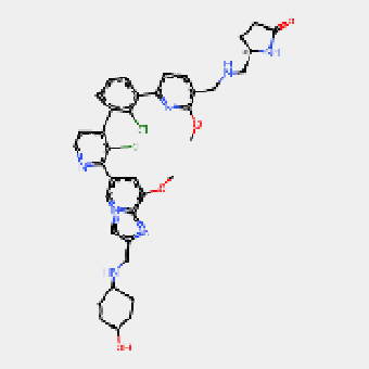 COc1nc(-c2cccc(-c3ccnc(-c4cc(OC)c5nc(CNC6CCC(O)CC6)cn5c4)c3Cl)c2Cl)ccc1CNC[C@H]1CCC(=O)N1